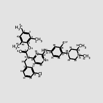 Cc1cc(C)c(OC(=O)N(Cc2cccc(Cl)c2)c2ccnc(Nc3ccc(N4CCN(C)C(C)C4)c(F)c3)n2)c(C)c1